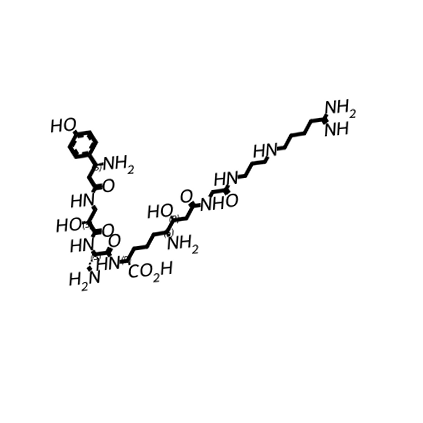 N=C(N)CCCCNCCCNC(=O)CNC(=O)C[C@@H](O)[C@@H](N)CCC[C@@H](NC(=O)[C@H](CN)NC(=O)[C@@H](O)CNC(=O)C[C@H](N)c1ccc(O)cc1)C(=O)O